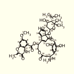 C=C1Oc2cc(OC)cc(C(=O)OC3COC(=O)C[C@H](N)c4cc(O)c(c(Cl)c4)O[C@@H]4C=C3C3=CC=CC34O[C@@H]3OC(C)(C)[C@@H](N(C)C)[C@H](O)[C@H]3O)c2NC1=O